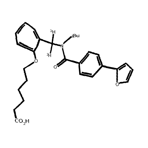 [2H]C([2H])(c1ccccc1OCCCCCC(=O)O)N(C(=O)c1ccc(-c2ccco2)cc1)C(C)CC